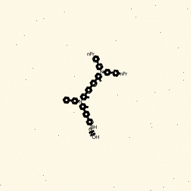 CCCc1ccc(-c2ccc(N(c3ccc(-c4ccc(CCC)cc4)cc3)c3ccc(-c4ccc(-c5ccc(-c6ccc(N(c7ccc(-c8ccccc8)cc7)c7ccc(-c8ccc(-c9ccc(BOC(C)(C)C(C)(C)O)cc9)cc8)c(C)c7)cc6C)cc5)cc4)c(C)c3)cc2)cc1